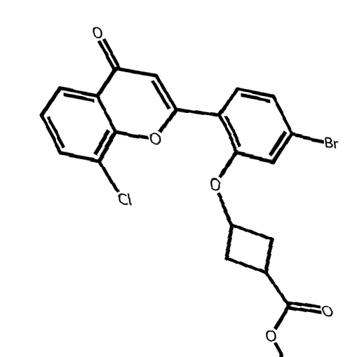 COC(=O)C1CC(Oc2cc(Br)ccc2-c2cc(=O)c3cccc(Cl)c3o2)C1